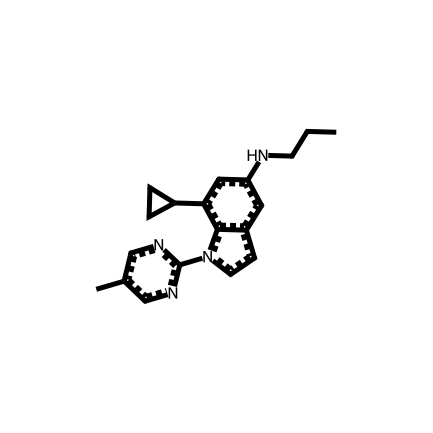 CCCNc1cc(C2CC2)c2c(ccn2-c2ncc(C)cn2)c1